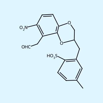 Cc1ccc(S(=O)(=O)O)c(CC2COc3ccc([N+](=O)[O-])c(CC=O)c3O2)c1